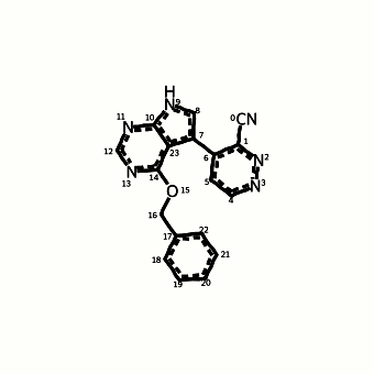 N#Cc1nnccc1-c1c[nH]c2ncnc(OCc3ccccc3)c12